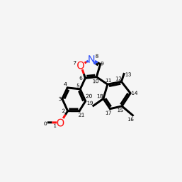 COc1ccc(-c2oncc2-c2c(C)cc(C)cc2C)cc1